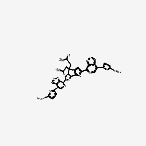 CCCCCCc1ccc(-c2cnc(-c3cc4c(s3)-c3sc(-c5ncc(-c6ccc(CCCCCC)s6)c6nsnc56)cc3C4(CC(CC)CCCC)CC(CC)CCCC)c3nsnc23)s1